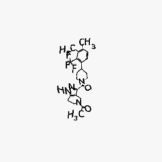 CC(=O)N1CCc2[nH]nc(C(=O)N3CCC(c4ccc(C)c(C)c4C(F)(F)F)CC3)c2C1